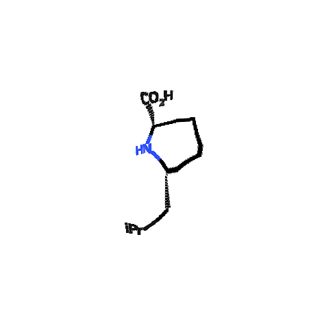 CC(C)C[C@H]1CC[C@@H](C(=O)O)N1